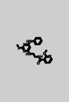 COc1ncccc1C(=O)NCCNc1cc(Nc2ccccc2)nc(SC)n1